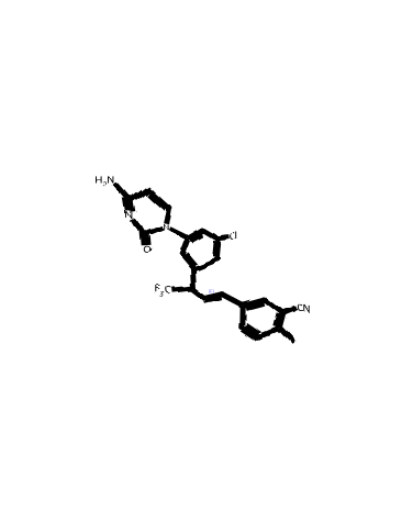 Cc1ccc(/C=C/C(c2cc(Cl)cc(-n3ccc(N)nc3=O)c2)C(F)(F)F)cc1C#N